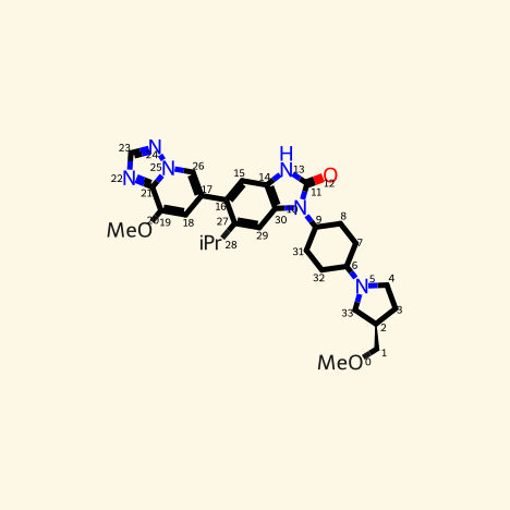 COC[C@@H]1CCN(C2CCC(n3c(=O)[nH]c4cc(-c5cc(OC)c6ncnn6c5)c(C(C)C)cc43)CC2)C1